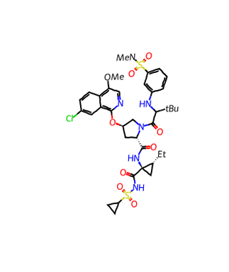 CC[C@@H]1C[C@]1(NC(=O)[C@@H]1C[C@@H](Oc2ncc(OC)c3ccc(Cl)cc23)CN1C(=O)C(Nc1cccc(S(=O)(=O)NC)c1)C(C)(C)C)C(=O)NS(=O)(=O)C1CC1